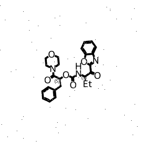 CC[C@H](NC(=O)O[C@@H](Cc1ccccc1)C(=O)N1CCOCC1)C(=O)c1nc2ccccc2o1